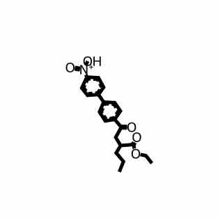 CCCC(CC(=O)c1ccc(-c2ccc([N+](=O)O)cc2)cc1)C(=O)OCC